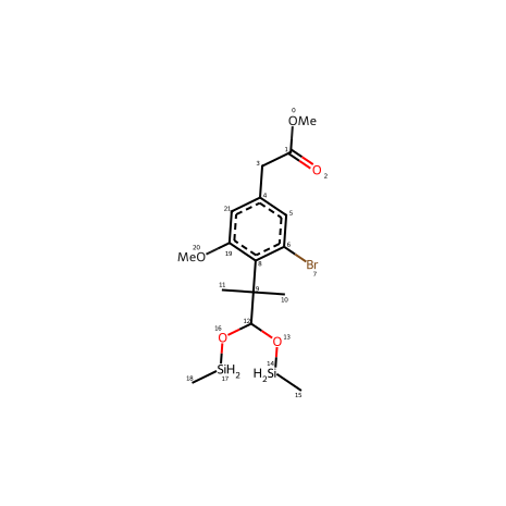 COC(=O)Cc1cc(Br)c(C(C)(C)C(O[SiH2]C)O[SiH2]C)c(OC)c1